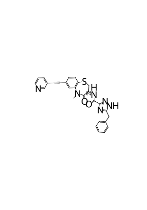 CN1C(=O)[C@@H](NC(=O)c2n[nH]c(Cc3ccccc3)n2)CSc2ccc(C#Cc3cccnc3)cc21